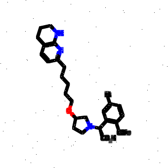 CCc1ccc(OC)c([C@@H](C(=O)O)N2CC[C@@H](OCCCCCc3ccc4c(n3)NCCC4)C2)c1